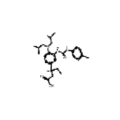 CC[C@](C)(CC(=O)O)c1ccc(N(CC(C)C)CC(C)C)c(NC(=O)Nc2ccc(C)cc2)c1